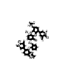 CC(=O)Nc1ccc(-c2cc(C)c(=O)n(C)c2)c(Oc2ccccc2Br)c1N.Cc1nc2c(Oc3ccccc3Br)c(-c3cc(C)c(=O)n(C)c3)ccc2[nH]1